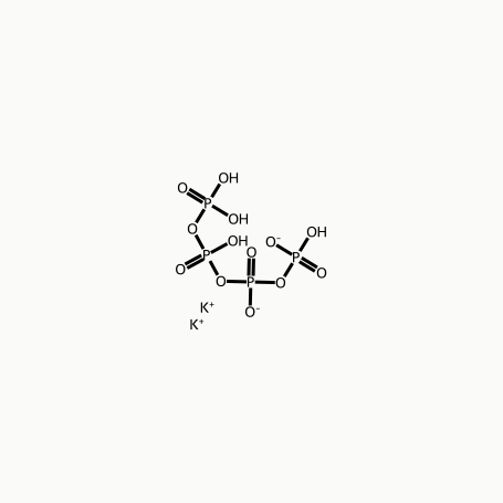 O=P([O-])(O)OP(=O)([O-])OP(=O)(O)OP(=O)(O)O.[K+].[K+]